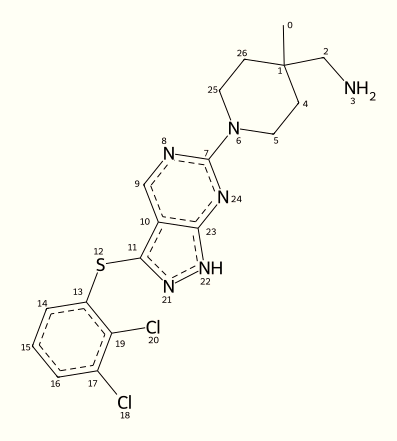 CC1(CN)CCN(c2ncc3c(Sc4cccc(Cl)c4Cl)n[nH]c3n2)CC1